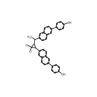 CC(c1ccc2cc(-c3ccc(O)cc3)ccc2c1)C1C(c2ccc3cc(-c4ccc(O)cc4)ccc3c2)C1(Cl)Cl